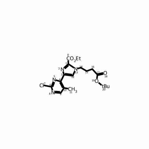 CCOC(=O)c1nc(-c2nc(Cl)ncc2C)cn1C[CH]CC(=O)OC(C)(C)C